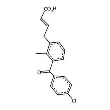 Cc1c(CC=CC(=O)O)cccc1C(=O)c1ccc(Cl)cc1